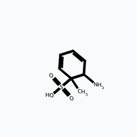 CC1(S(=O)(=O)O)C=CC=CC1N